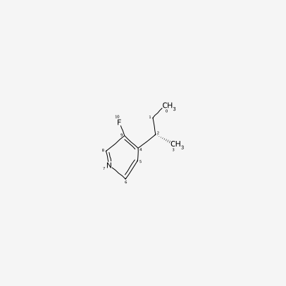 CC[C@H](C)c1ccncc1F